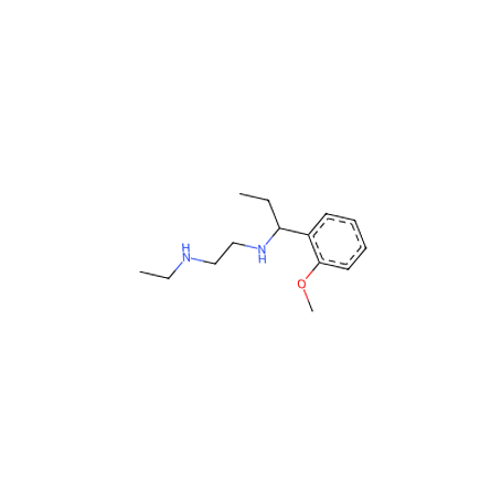 CCNCCNC(CC)c1ccccc1OC